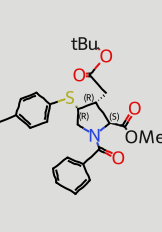 COC(=O)[C@@H]1[C@@H](CC(=O)OC(C)(C)C)[C@@H](Sc2ccc(C)cc2)CN1C(=O)c1ccccc1